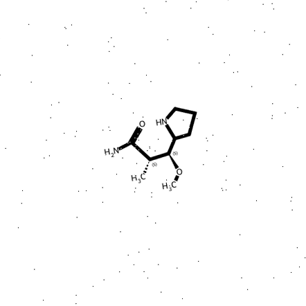 CO[C@H](C1CCCN1)[C@H](C)C(N)=O